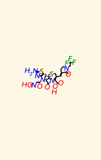 Nc1nc(N(C(=O)C=NO)[C@@H]2C(=O)N3C(C(=O)O)=C(C=C4CCN(CC(F)(F)F)C4=O)CS[C@H]23)cs1